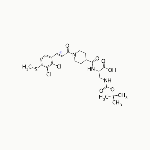 CSc1ccc(/C=C/C(=O)N2CCC(C(=O)NC(CNC(=O)OC(C)(C)C)C(=O)O)CC2)c(Cl)c1Cl